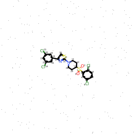 O=S(=O)(c1cc(Cl)ccc1Cl)C1CCN(c2nc(-c3cc(Cl)cc(Cl)c3)cs2)CC1